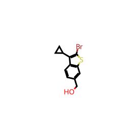 OCc1ccc2c(C3CC3)c(Br)sc2c1